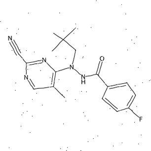 Cc1cnc(C#N)nc1N(CC(C)(C)C)NC(=O)c1ccc(F)cc1